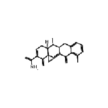 C=C(N)C1=CC[C@@H]2[C@@H](C)C3Cc4cccc(C)c4C(=C)C3=C3C[C@]32C1=C